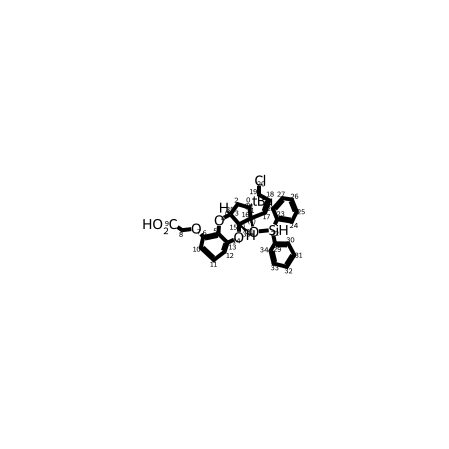 CC(C)(C)[C@H]1C[C@@H]2Oc3c(OCC(=O)O)cccc3O[C@H]2[C@]1(C=CCCl)O[SiH](c1ccccc1)c1ccccc1